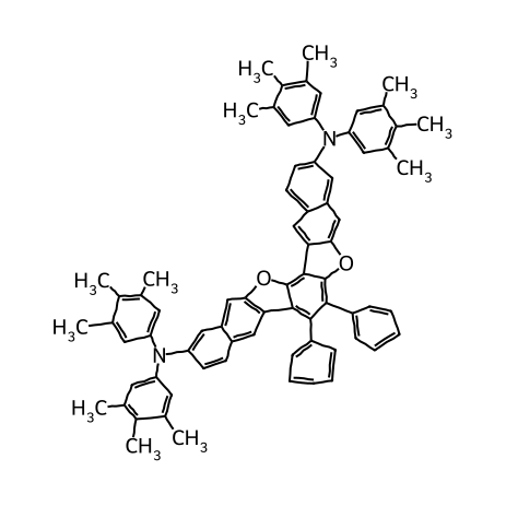 Cc1cc(N(c2cc(C)c(C)c(C)c2)c2ccc3cc4c(cc3c2)oc2c4c(-c3ccccc3)c(-c3ccccc3)c3oc4cc5cc(N(c6cc(C)c(C)c(C)c6)c6cc(C)c(C)c(C)c6)ccc5cc4c32)cc(C)c1C